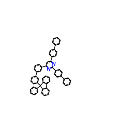 c1ccc(-c2ccc(-c3cc(-c4cccc(-c5cccc(C6(c7ccccc7)c7ccccc7-c7ccccc76)c5)c4)nc(-c4ccc(-c5ccccc5)cc4)n3)cc2)cc1